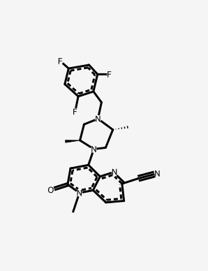 C[C@@H]1CN(c2cc(=O)n(C)c3ccc(C#N)nc23)[C@@H](C)CN1Cc1c(F)cc(F)cc1F